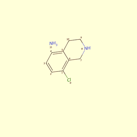 Clc1cccc2c1CNCC2.N